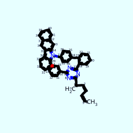 C=C(/C=C\C=C/C)c1nc(-c2ccccc2)nc(-c2ccccc2-c2ccc(-n3c4ccccc4c4cc5ccccc5cc43)cc2)n1